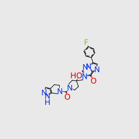 O=C(N1CCC(O)(Cn2cnn3c(-c4ccc(F)cc4)cnc3c2=O)CC1)N1CCc2cn[nH]c2C1